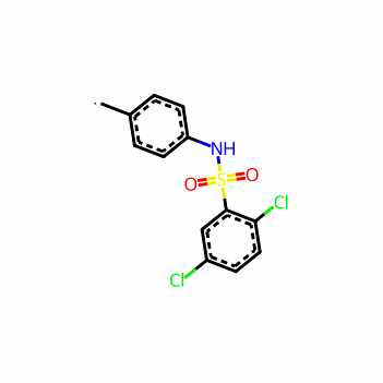 [CH2]c1ccc(NS(=O)(=O)c2cc(Cl)ccc2Cl)cc1